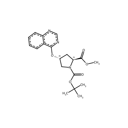 COC(=O)[C@@H]1C[C@@H](Oc2ncnc3ccccc23)CN1C(=O)OC(C)(C)C